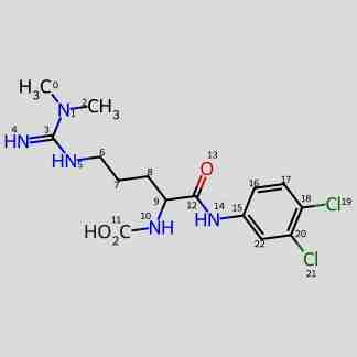 CN(C)C(=N)NCCCC(NC(=O)O)C(=O)Nc1ccc(Cl)c(Cl)c1